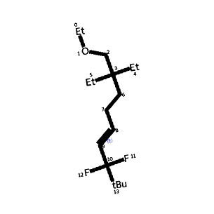 CCOCC(CC)(CC)CC/C=C/C(F)(F)C(C)(C)C